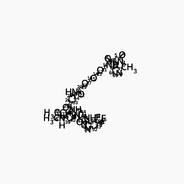 CCN1C(=O)C[C@H](C(=O)NCCOCCOCCOCCC(=O)N[C@H]2CC[C@@H](C(=O)N[C@@H]3C[C@H](NC(C)(C)C)CC[C@@H]3N3CC[C@H](Nc4ncnc5ccc(C(F)(F)F)cc45)C3=O)CC2)[C@H]1c1cccnc1